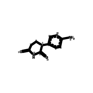 Nc1ccc(N2CCC(=O)NC2=O)cn1